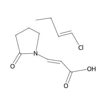 CCC=CCl.O=C(O)C=CN1CCCC1=O